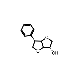 O[C@H]1COC2C1OC[C@H]2c1ccccc1